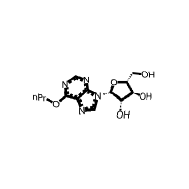 CCCOc1ncnc2c1ncn2[C@@H]1O[C@H](CO)[C@@H](O)[C@@H]1O